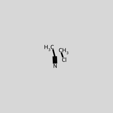 CC#N.CCl